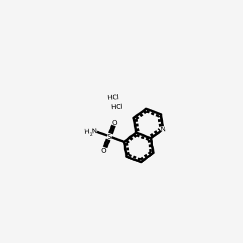 Cl.Cl.NS(=O)(=O)c1cccc2ncccc12